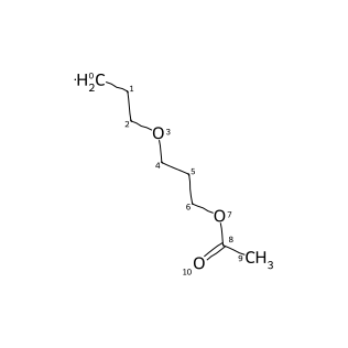 [CH2]CCOCCCOC(C)=O